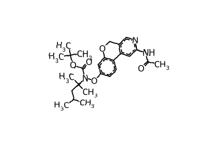 CC(=O)Nc1cc2c(cn1)COc1cc(ON(C(=O)OC(C)(C)C)C(C)(C)CC(C)C)ccc1-2